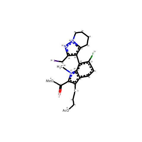 COC(=O)c1c(CCCOC(C)=O)c2ccc(F)c(-c3c(CI)nn4c3CCCC4)c2n1C